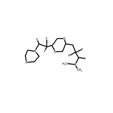 CN(C)C(F)C(F)(F)CC1COC(C(F)(F)C(F)N2CCOCC2)CO1